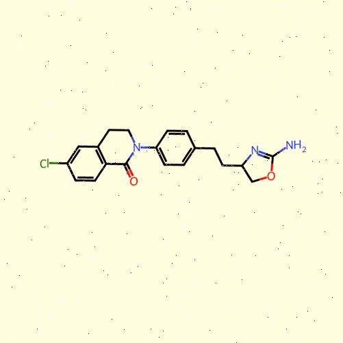 NC1=NC(CCc2ccc(N3CCc4cc(Cl)ccc4C3=O)cc2)CO1